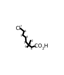 CC(C)(CCCCCl)CC(=O)O